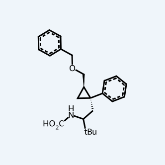 CC(C)(C)C(C[C@]1(c2ccccc2)C[C@H]1COCc1ccccc1)NC(=O)O